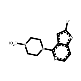 O=C(O)N1CCN(c2nccc3sc(Br)cc23)CC1